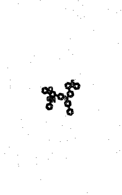 c1ccc(-c2ccc(N(c3ccc(-c4cc5oc6ccccc6c5c5oc(-c6ccccc6)nc45)cc3)c3cccc(-c4cccc5sc6ccccc6c45)c3)cc2)cc1